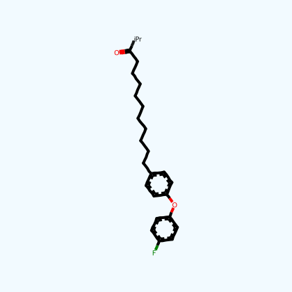 CC(C)C(=O)CCCCCCCCCCc1ccc(Oc2ccc(F)cc2)cc1